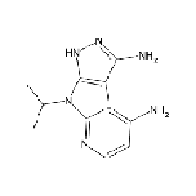 CC(C)n1c2nccc(N)c2c2c(N)n[nH]c21